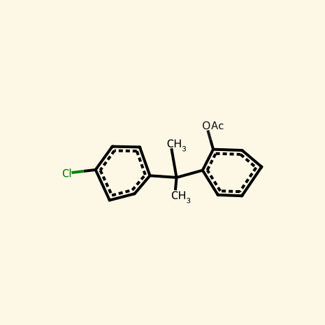 CC(=O)Oc1ccccc1C(C)(C)c1ccc(Cl)cc1